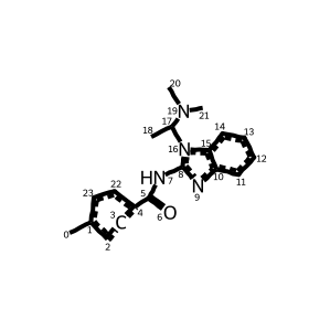 Cc1ccc(C(=O)Nc2nc3ccccc3n2C(C)N(C)C)cc1